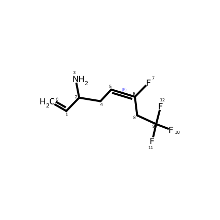 C=CC(N)C/C=C(/F)CC(F)(F)F